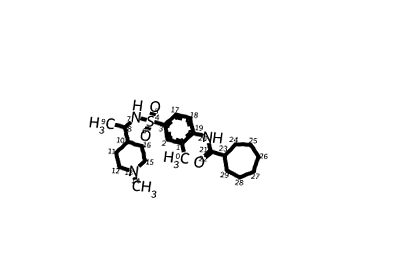 Cc1cc(S(=O)(=O)NC(C)C2CCN(C)CC2)ccc1NC(=O)C1CCCCCC1